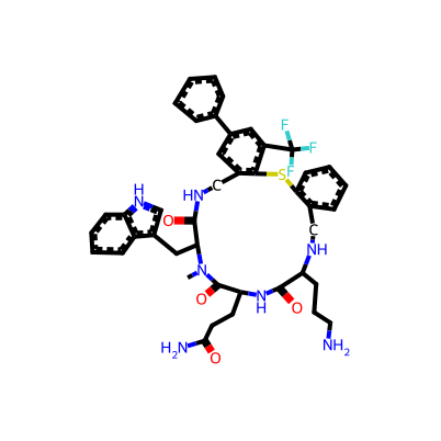 CN1C(=O)C(CCC(N)=O)NC(=O)C(CCCN)NCc2ccccc2Sc2c(cc(-c3ccccc3)cc2C(F)(F)F)CNC(=O)C1Cc1c[nH]c2ccccc12